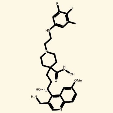 COc1ccc2ncc(CN)c([C@H](O)CCC3(C(=O)NO)CCN(CCNc4cc(F)c(F)c(F)c4)CC3)c2c1